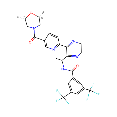 CC(NC(=O)c1cc(C(F)(F)F)cc(C(F)(F)F)c1)c1nccnc1-c1ccc(C(=O)N2C[C@@H](C)O[C@@H](C)C2)cn1